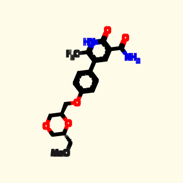 COC[C@@H]1COC[C@@H](COc2ccc(-c3cc(C(N)=O)c(=O)[nH]c3C(F)(F)F)cc2)O1